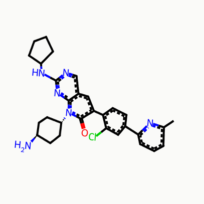 Cc1cccc(-c2ccc(-c3cc4cnc(NC5CCCC5)nc4n([C@H]4CC[C@H](N)CC4)c3=O)c(Cl)c2)n1